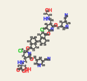 CC(CO)(NCc1cc(Cl)c(O[C@H]2CCc3c(-c4cccc5c4CC[C@@H]5Oc4nc(OCc5cncc(C#N)c5)c(CNCCO)cc4Cl)cccc32)nc1OCc1cncc(C#N)c1)C(=O)O